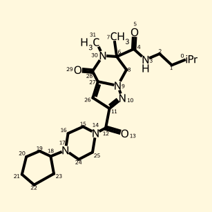 CC(C)CCNC(=O)C1(C)Cn2nc(C(=O)N3CCN(C4CCCCC4)CC3)cc2C(=O)N1C